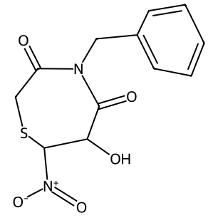 O=C1CSC([N+](=O)[O-])C(O)C(=O)N1Cc1ccccc1